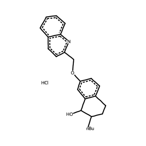 CCCCC1CCc2ccc(OCc3ccc4ccccc4n3)cc2C1O.Cl